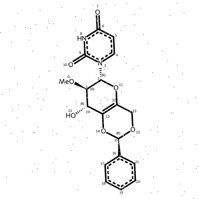 CO[C@H]1[C@H](n2ccc(=O)[nH]c2=O)OC2=C(O[C@H](c3ccccc3)OC2)[C@@H]1O